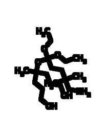 CCO[Si](CCC(C)(C)CN)(OCC)OC(C)(CCCO)CCCO